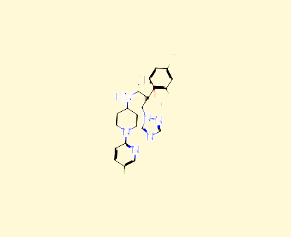 C[C@@H](NC1CCN(c2ccc(F)cn2)CC1)[C@](O)(Cn1cncn1)c1ccc(F)cc1F